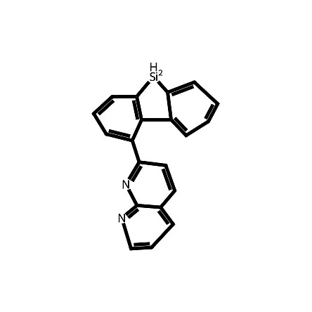 c1ccc2c(c1)[SiH2]c1cccc(-c3ccc4cccnc4n3)c1-2